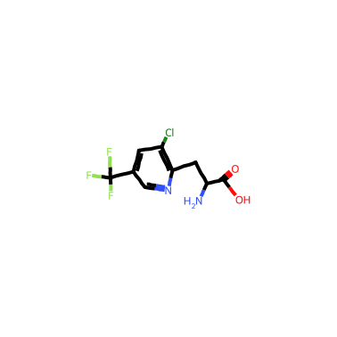 NC(Cc1ncc(C(F)(F)F)cc1Cl)C(=O)O